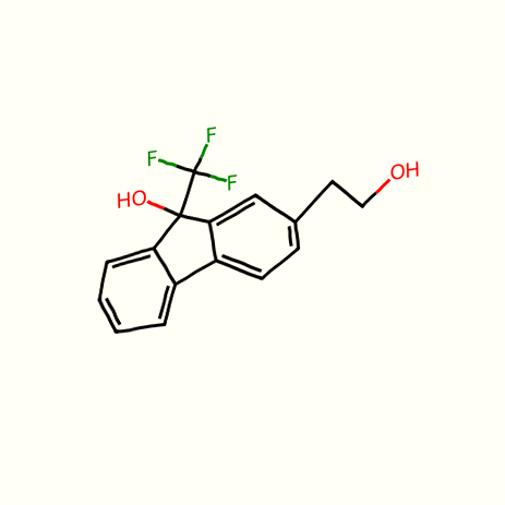 OCCc1ccc2c(c1)C(O)(C(F)(F)F)c1ccccc1-2